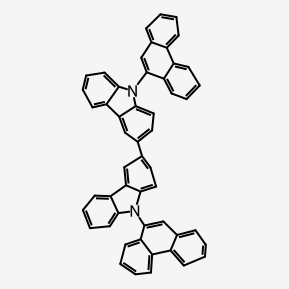 c1ccc2c(c1)cc(-n1c3ccccc3c3cc(-c4ccc5c(c4)c4ccccc4n5-c4cc5ccccc5c5ccccc45)ccc31)c1ccccc12